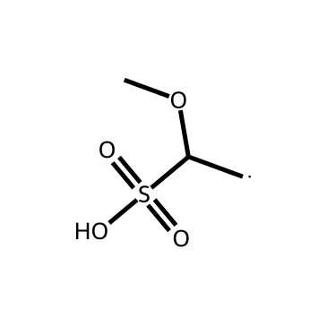 [CH2]C(OC)S(=O)(=O)O